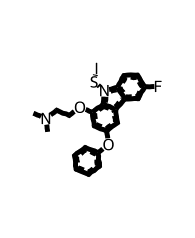 CN(C)CCOc1cc(Oc2ccccc2)cc2c3cc(F)ccc3n(SI)c12